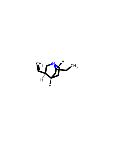 C=C[C@H]1CN2CC[C@H]1C[C@H]2CC